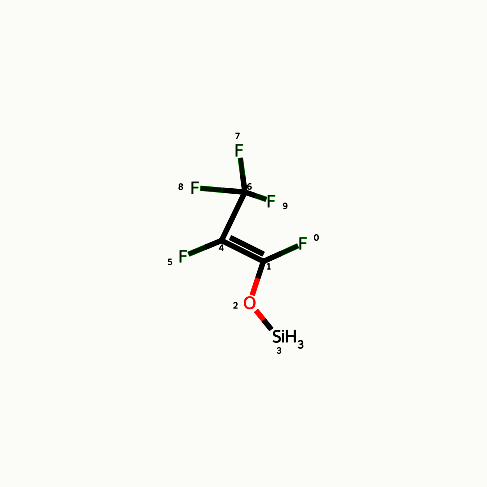 FC(O[SiH3])=C(F)C(F)(F)F